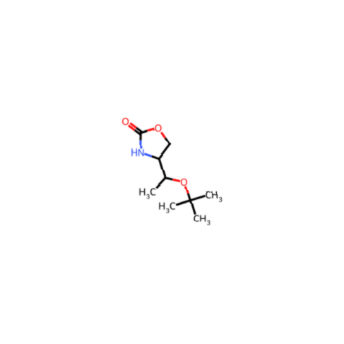 CC(OC(C)(C)C)C1COC(=O)N1